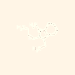 C=C/C=C\c1c(C=C)c2ccccc2n1N